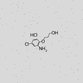 Cl.Nc1cc(Cl)ccc1OCCCO